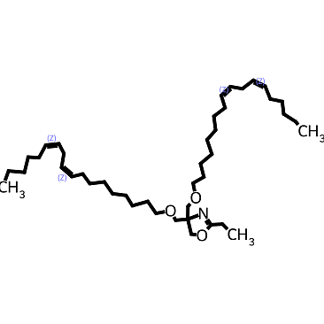 CCCCC/C=C\C/C=C\CCCCCCCCOCC1(COCCCCCCCC/C=C\C/C=C\CCCCC)COC(CC)=N1